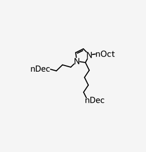 CCCCCCCCCCCCCCC1N(CCCCCCCC)C=CN1CCCCCCCCCCCCC